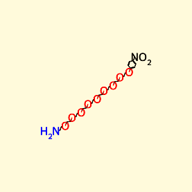 NCCOCCOCCOCCOCCOCCOCCOCCOCCOc1ccc([N+](=O)[O-])cc1